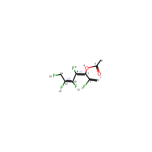 C=C(F)/C(OC(C)=O)=C(F)\C(F)=C(\F)CF